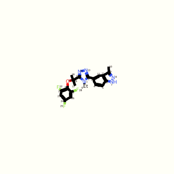 CCn1c(-c2ccc3[nH]nc(C)c3c2)nnc1C(C)(C)Oc1c(F)cc(F)cc1F